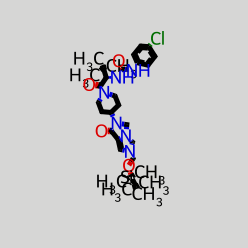 CC(C)(C)[C@@H](NC(=O)Nc1ccc(Cl)cc1)C(=O)N1CCC(N2CN3CN(CO[Si](C)(C)C(C)(C)C)C=C3C2=O)CC1